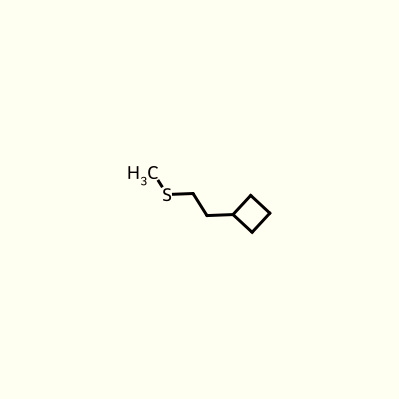 CSCCC1CCC1